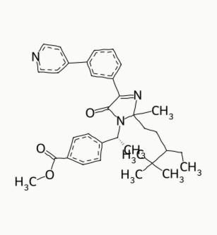 CCC(CCC1(C)N=C(c2cccc(-c3ccncc3)c2)C(=O)N1[C@H](C)c1ccc(C(=O)OC)cc1)C(C)(C)C